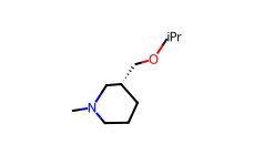 CC(C)OC[C@@H]1CCCN(C)C1